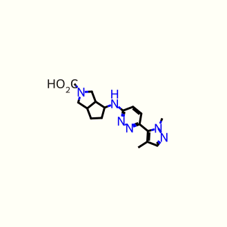 Cc1cnn(C)c1-c1ccc(NC2CCC3CN(C(=O)O)CC32)nn1